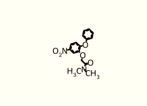 CN(C)C(=O)COc1cc([N+](=O)[O-])ccc1Oc1ccccc1